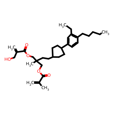 C=C(C)C(=O)OCC(C)(CCC1CCC(c2ccc(CCCCC)c(CC)c2)CC1)COC(=O)C(=C)CO